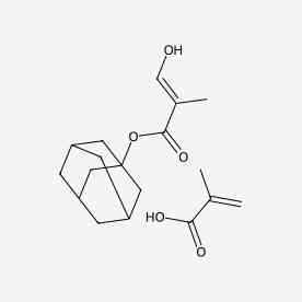 C=C(C)C(=O)O.CC(=CO)C(=O)OC12CC3CC(CC(C3)C1)C2